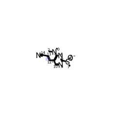 CN(C)c1nc([S+](C)[O-])ncc1/C=C/C#N